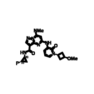 CNc1cc(Nc2cccn([C@H]3C[C@H](OC)C3)c2=O)nc2c(C(=O)N[C@@H]3C[C@@H]3F)cnn12